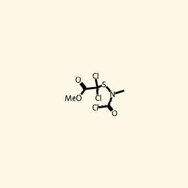 COC(=O)C(Cl)(Cl)SN(C)C(=O)Cl